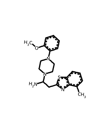 COc1ccccc1N1CCN(C(N)Cc2nc3c(C)cccc3s2)CC1